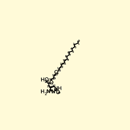 CCCCCCCCCCCCCCCCOCC[CH]CO[C@H](CO)Cc1c[nH]c(=O)nc1N